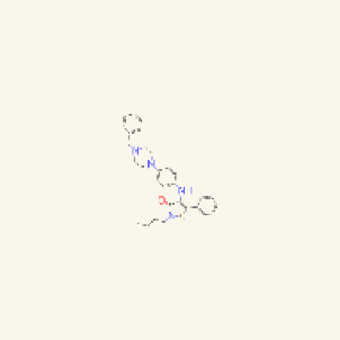 CCCCn1sc(-c2ccccc2)c(Nc2ccc(N3CCN(Cc4ccccc4)CC3)cc2)c1=O